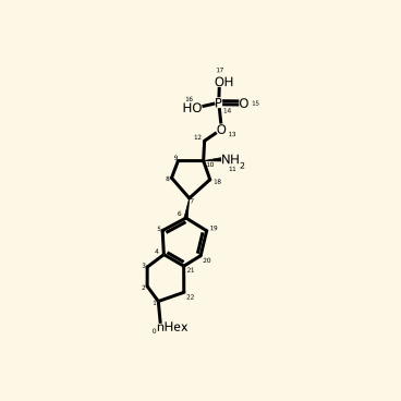 CCCCCCC1CCc2cc([C@H]3CC[C@](N)(COP(=O)(O)O)C3)ccc2C1